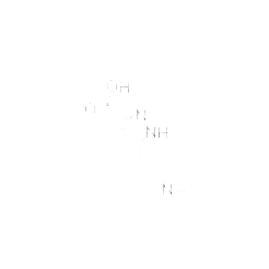 Cn1cccc1Cc1cc(C(=O)O)n[nH]1